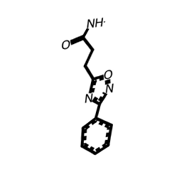 [NH]C(=O)CCc1nc(-c2ccccc2)no1